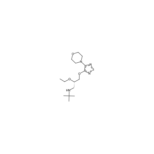 CCO[C@@H](CNC(C)(C)C)COc1nsnc1N1CCOCC1